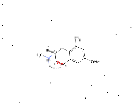 COc1cc(C(F)(F)F)c2c(c1)[C@]13CCN(C)[C@H](C2)[C@@H]1OCOC3